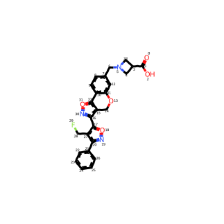 O=C(O)C1CN(Cc2ccc3c(c2)OCc2c(-c4onc(-c5ccccc5)c4CF)noc2-3)C1